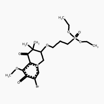 CCOP(=O)(CCCOC1Cn2cc(Br)c(=O)c(OC)c2C(=O)C1(C)C)OCC